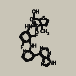 CC1(S(=O)(=O)Nc2ccc(F)c(Nc3ncccc3-c3ncnc4[nH]cnc34)c2F)C=CSC1C(=O)O